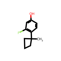 CC1(c2ccc(O)cc2F)CCC1